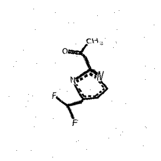 CC(=O)c1nccc(C(F)F)n1